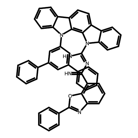 N=C(/N=C(\N)n1c2ccccc2c2ccc3c4ccccc4n(-c4cc(-c5ccccc5)cc(-c5ccccc5)c4)c3c21)c1cccc2nc(-c3ccccc3)oc12